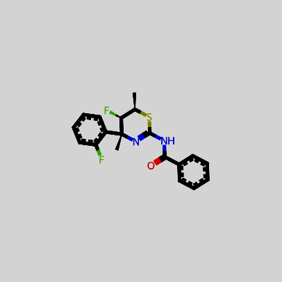 C[C@H]1SC(NC(=O)c2ccccc2)=N[C@](C)(c2ccccc2F)[C@H]1F